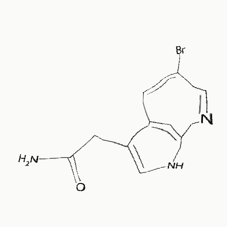 NC(=O)Cc1c[nH]c2ncc(Br)cc12